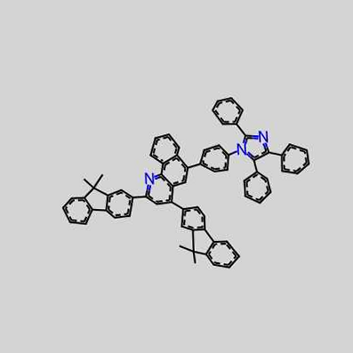 CC1(C)c2ccccc2-c2ccc(-c3cc(-c4ccc5c(c4)C(C)(C)c4ccccc4-5)c4cc(-c5ccc(-n6c(-c7ccccc7)nc(-c7ccccc7)c6-c6ccccc6)cc5)c5ccccc5c4n3)cc21